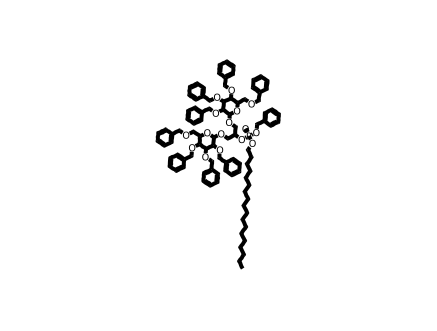 CCCCCCCCCCCCCCCCCCOP(=O)(OCc1ccccc1)OC(COC1OC(COCc2ccccc2)C(OCc2ccccc2)C(OCc2ccccc2)C1OCc1ccccc1)COC1OC(COCc2ccccc2)C(OCc2ccccc2)C(OCc2ccccc2)C1OCc1ccccc1